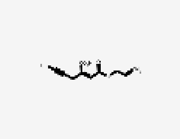 C=CCOC(=O)/C=C(/CC#CC)C(=O)O